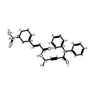 C[C@H](C#CC(=O)N(c1ccccc1)c1ccccc1)OC(=O)/C=C/C1=CCCC([N+](=O)[O-])C1